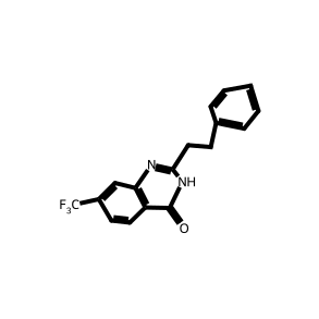 O=c1[nH]c(CCc2ccccc2)nc2cc(C(F)(F)F)ccc12